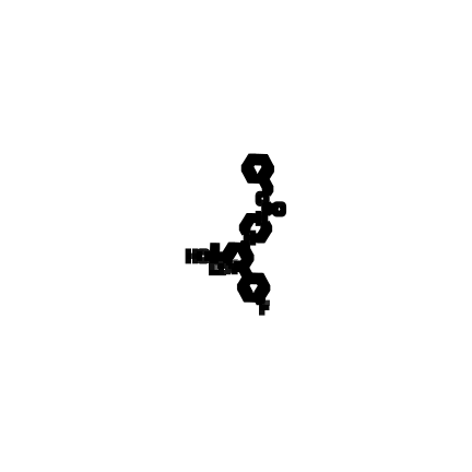 CCC(C)(O)c1cc(N2CCN(C(=O)OCc3ccccc3)CC2)cc(-c2ccc(F)cc2)n1